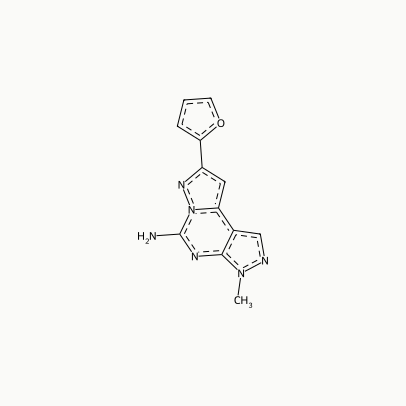 Cn1ncc2c1nc(N)n1nc(-c3ccco3)cc21